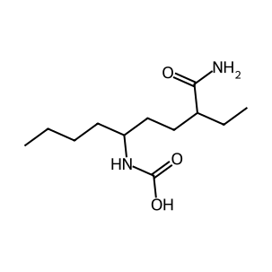 CCCCC(CCC(CC)C(N)=O)NC(=O)O